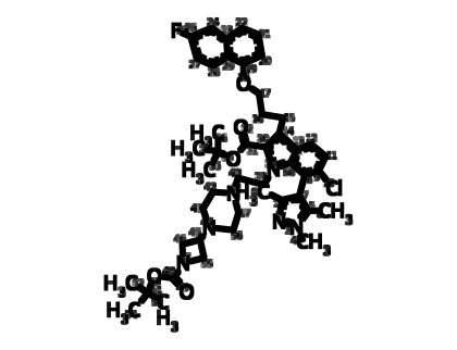 Cc1nn(C)c(C)c1-c1c(Cl)ccc2c(CCCOc3cccc4cc(F)ccc34)c(C(=O)OC(C)(C)C)n(CCN3CCN(C4CN(C(=O)OC(C)(C)C)C4)CC3)c12